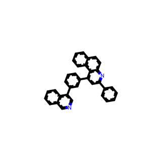 c1ccc(-c2cc(-c3cccc(-c4cncc5ccccc45)c3)c3c(ccc4ccccc43)n2)cc1